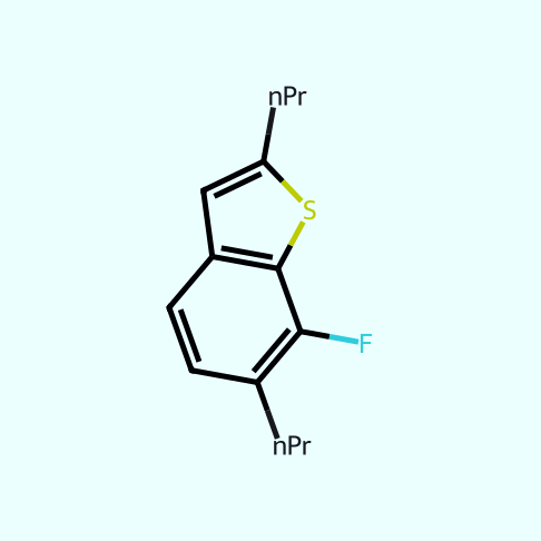 CCCc1cc2ccc(CCC)c(F)c2s1